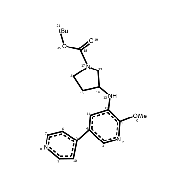 COc1ncc(-c2ccncc2)cc1NC1CCN(C(=O)OC(C)(C)C)C1